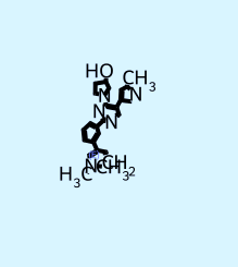 C=C/C(=C\N(C)C)c1cccc(-c2ncc(C3=CC(C)N=C3)c(N3CCC(O)C3)n2)c1